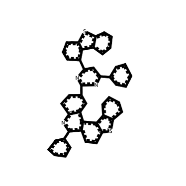 c1ccc(-c2cc(-c3cccc4sc5ccccc5c34)nc(-c3ccc4nc(-c5ccccc5)c5ccc6sc7ccccc7c6c5c4c3)n2)cc1